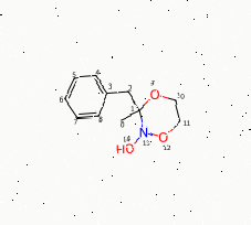 CC1(Cc2ccccc2)OCCON1O